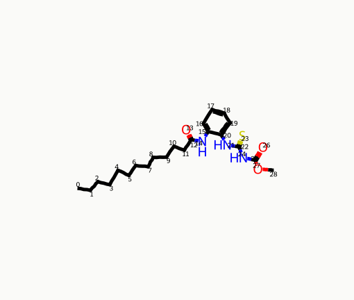 CCCCCCCCCCCCC(=O)Nc1ccccc1NC(=S)NC(=O)OC